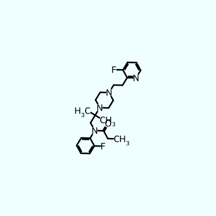 CCC(=O)N(CC(C)(C)N1CCN(CCc2ncccc2F)CC1)c1ccccc1F